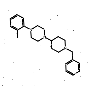 Cc1ccccc1N1CCN(C2CCN(Cc3ccccc3)CC2)CC1